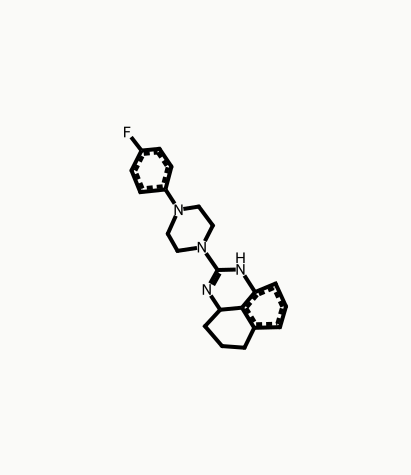 Fc1ccc(N2CCN(C3=NC4CCCc5cccc(c54)N3)CC2)cc1